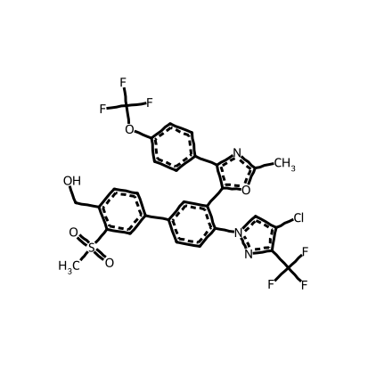 Cc1nc(-c2ccc(OC(F)(F)F)cc2)c(-c2cc(-c3ccc(CO)c(S(C)(=O)=O)c3)ccc2-n2cc(Cl)c(C(F)(F)F)n2)o1